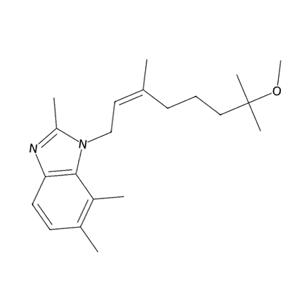 COC(C)(C)CCCC(C)=CCn1c(C)nc2ccc(C)c(C)c21